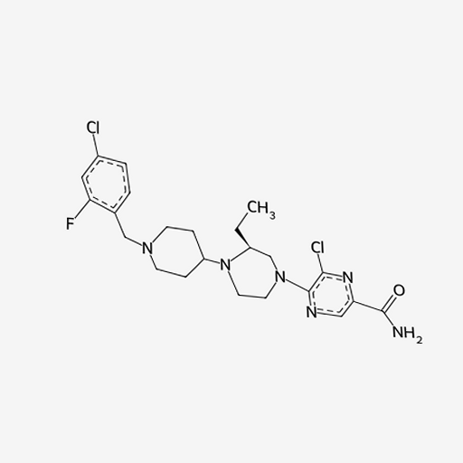 CC[C@H]1CN(c2ncc(C(N)=O)nc2Cl)CCN1C1CCN(Cc2ccc(Cl)cc2F)CC1